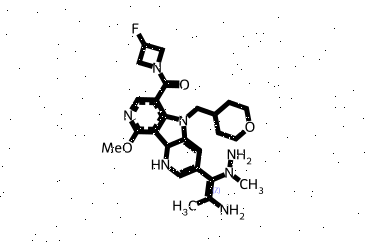 COc1ncc(C(=O)N2CC(F)C2)c2c1C1NC=C(/C(=C(\C)N)N(C)N)C=C1N2CC1CCOCC1